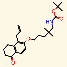 C=CCc1c(OCCCC(C)(C)CNC(=O)OC(C)(C)C)ccc2c1CCCC2=O